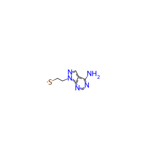 Nc1ncnc2c1cnn2CC[S]